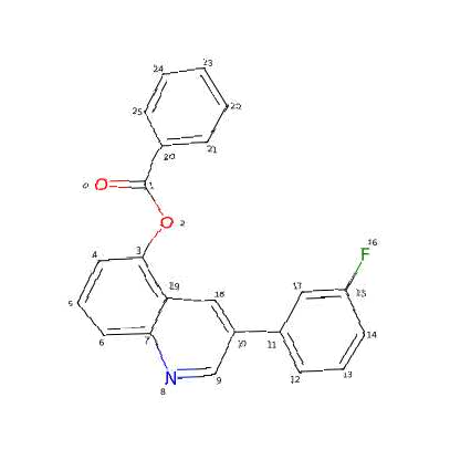 O=C(Oc1cccc2ncc(-c3cccc(F)c3)cc12)c1ccccc1